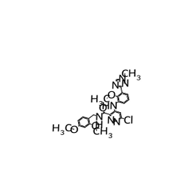 COc1ccc(CNC(=O)c2nnc(Cl)cc2Nc2cccc(-c3ncn(C)n3)c2OC)c(OC)c1